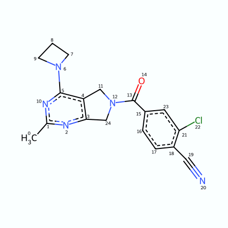 Cc1nc2c(c(N3CCC3)n1)CN(C(=O)c1ccc(C#N)c(Cl)c1)C2